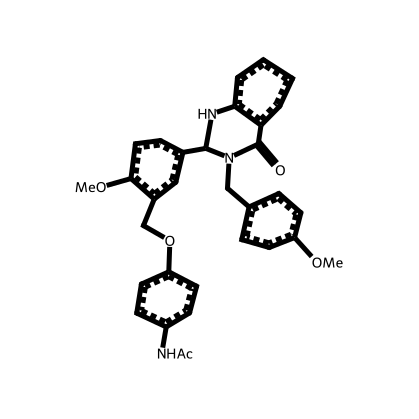 COc1ccc(CN2C(=O)c3ccccc3NC2c2ccc(OC)c(COc3ccc(NC(C)=O)cc3)c2)cc1